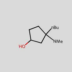 CCCCC1(NC)CCC(O)C1